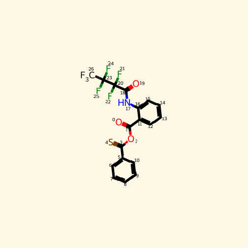 O=C(OC(=S)c1ccccc1)c1ccccc1NC(=O)C(F)(F)C(F)(F)C(F)(F)F